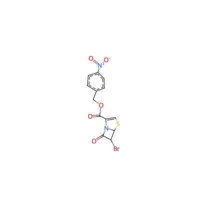 O=C(OCc1ccc([N+](=O)[O-])cc1)C1=CSC2C(Br)C(=O)N12